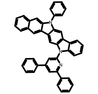 c1ccc(-c2cc(-c3ccccc3)nc(-n3c4ccccc4c4cc5c(cc43)c3cc4ccccc4cc3n5-c3ccccc3)c2)cc1